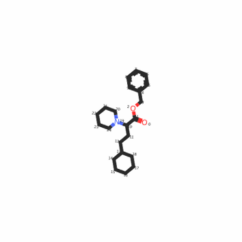 O=C(OCc1ccccc1)C(CCC1CCCCC1)N1CCCCC1